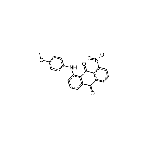 COc1ccc(Nc2cccc3c2C(=O)c2c(cccc2[N+](=O)[O-])C3=O)cc1